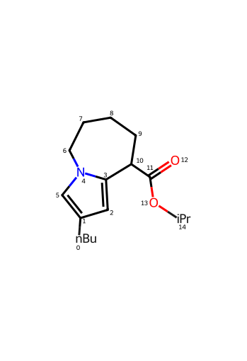 CCCCc1cc2n(c1)CCCCC2C(=O)OC(C)C